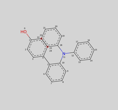 Oc1ccc(-c2ccccc2N(c2ccccc2)c2ccccc2)cc1